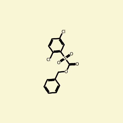 O=C(OCc1ccccc1)S(=O)(=O)c1cc(Cl)ccc1Cl